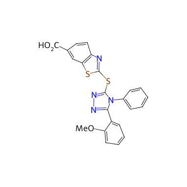 COc1ccccc1-c1nnc(Sc2nc3ccc(C(=O)O)cc3s2)n1-c1ccccc1